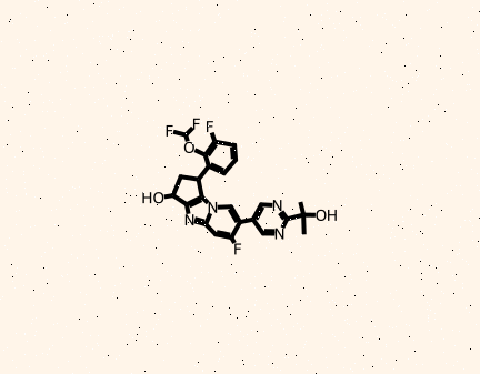 CC(C)(O)c1ncc(-c2cn3c4c(nc3cc2F)C(O)CC4c2cccc(F)c2OC(F)F)cn1